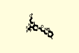 COCCc1nc2c(c(C(F)(F)F)n1)CCN(C(=O)C[C@@H](N)CN1C[C@H](C)CCC1=O)C2